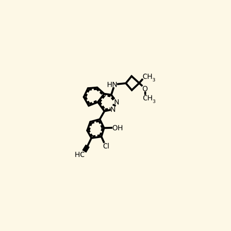 C#Cc1ccc(-c2nnc(NC3CC(C)(OC)C3)c3ccccc23)c(O)c1Cl